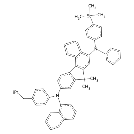 CC(C)Cc1ccc(N(c2ccc3c(c2)C(C)(C)c2cc(N(c4ccccc4)c4ccc([Si](C)(C)C)cc4)c4ccccc4c2-3)c2cccc3ccccc23)cc1